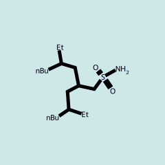 CCCCC(CC)CC(CC(CC)CCCC)CS(N)(=O)=O